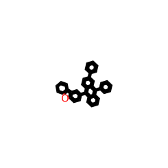 C1=Cc2c(oc3ccc(-c4c5ccccc5c(-c5ccccc5)c5cc(-c6ccccc6)ccc45)cc23)CC1